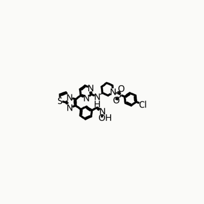 O=S(=O)(c1ccc(Cl)cc1)N1CCC[C@@H](Nc2nccc(-c3c(-c4cccc(/C=N\O)c4)nc4sccn34)n2)C1